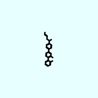 CC=CCC(C)c1ccc(-c2ccc(-c3ccccc3C)c(C)c2)cc1